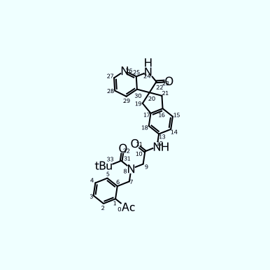 CC(=O)c1ccccc1CN(CC(=O)Nc1ccc2c(c1)CC1(C2)C(=O)Nc2ncccc21)C(=O)C(C)(C)C